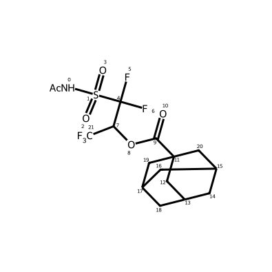 CC(=O)NS(=O)(=O)C(F)(F)C(OC(=O)C12CC3CC(CC(C3)C1)C2)C(F)(F)F